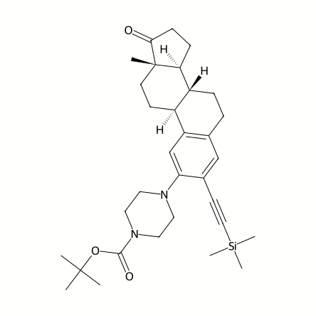 CC(C)(C)OC(=O)N1CCN(c2cc3c(cc2C#C[Si](C)(C)C)CC[C@@H]2[C@@H]3CC[C@]3(C)C(=O)CC[C@@H]23)CC1